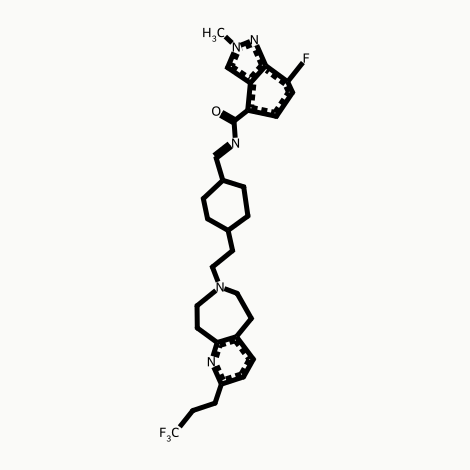 Cn1cc2c(C(=O)/N=C/C3CCC(CCN4CCc5ccc(CCC(F)(F)F)nc5CC4)CC3)ccc(F)c2n1